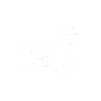 CCCC(=O)O[C@@H]1C(N(C)C)C[C@@H](C)O[C@H]1O[C@@H]1[C@@H](C)[C@H](O[C@H]2C[C@@](C)(OC)[C@@H](O)[C@H](C)O2)[C@@H](C)C(O)O[C@H](CC)[C@@](C)(O)[C@H](O)[C@@H](C)N(C)C[C@H](C)C[C@@]1(C)O